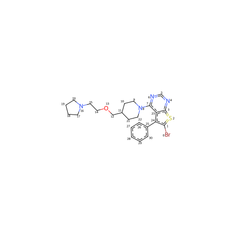 Brc1sc2ncnc(N3CCC(COCCN4CCCC4)CC3)c2c1-c1ccccc1